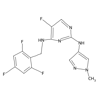 Cn1cc(Nc2ncc(F)c(NCc3c(F)cc(F)cc3F)n2)cn1